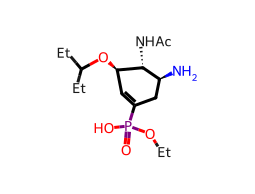 CCOP(=O)(O)C1=C[C@@H](OC(CC)CC)[C@H](NC(C)=O)[C@@H](N)C1